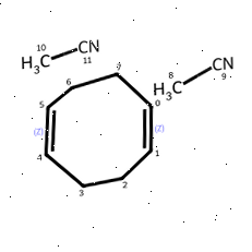 C1=C\CC/C=C\CC/1.CC#N.CC#N